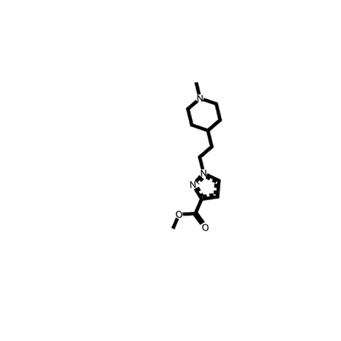 COC(=O)c1ccn(CCC2CCN(C)CC2)n1